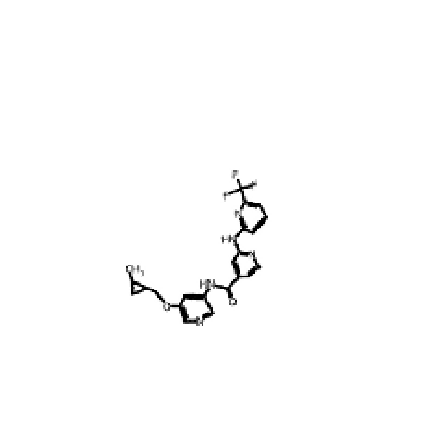 CC1CC1COc1cncc(NC(=O)c2ccnc(Nc3cccc(C(F)(F)F)n3)c2)c1